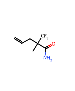 C=CCC(C)(C(N)=O)C(F)(F)F